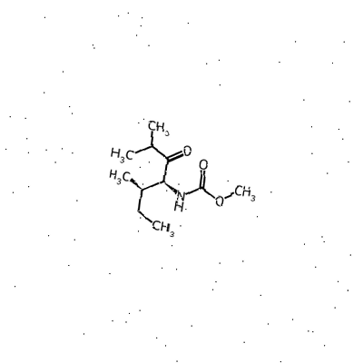 CC[C@@H](C)[C@H](NC(=O)OC)C(=O)C(C)C